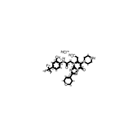 CCc1c(N2CCNCC2)c(=O)n2nc(C3=CCOCC3)nc2n1CC(=O)Nc1ccc(C(F)(F)F)cc1C.Cl